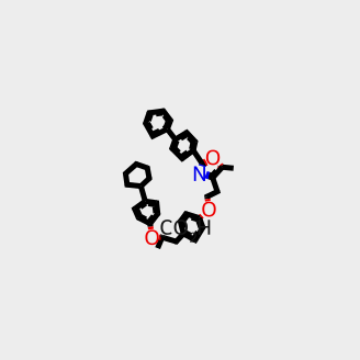 Cc1oc(-c2ccc(-c3ccccc3)cc2)nc1CCOc1ccc(CC(C)(Oc2ccc(C3CCCCC3)cc2)C(=O)O)cc1